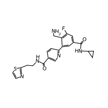 NCc1c(F)cc(C(=O)NC2CC2)cc1-c1ccc(C(=O)NCCc2nccs2)cn1